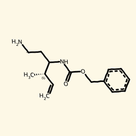 C=C[C@H](C)C(C[CH]N)NC(=O)OCc1ccccc1